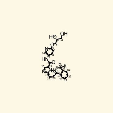 O=C(Nc1ccc(OCC(O)CO)nc1)c1cnc2ccc(-c3ccccc3C(F)(F)F)nn12